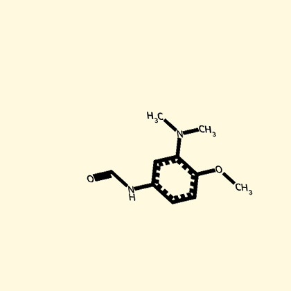 COc1ccc(NC=O)cc1N(C)C